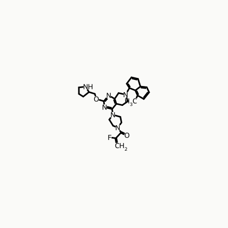 C=C(F)C(=O)N1CCN(c2nc(OCC3CCCN3)nc3c2CCN(c2cccc4cccc(C)c24)C3)CC1